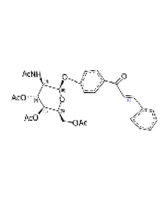 CC(=O)N[C@H]1[C@@H](Oc2ccc(C(=O)/C=C/c3ccccc3)cc2)O[C@@H](COC(C)=O)[C@@H](OC(C)=O)[C@@H]1OC(C)=O